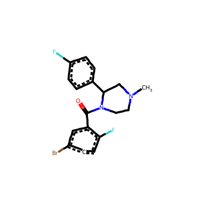 CN1CCN(C(=O)c2cc(Br)ccc2F)C(c2ccc(F)cc2)C1